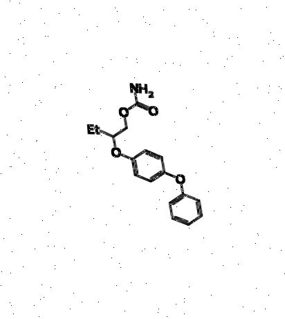 CCC(COC(N)=O)Oc1ccc(Oc2ccccc2)cc1